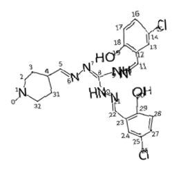 CN1CCC(/C=N/N=C(/N/N=C\c2cc(Cl)ccc2O)N/N=C/c2cc(Cl)ccc2O)CC1